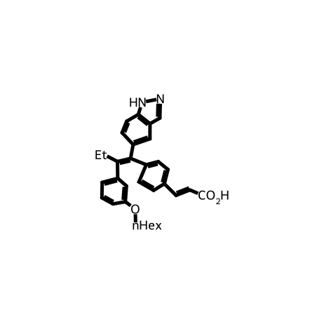 CCCCCCOc1cccc(/C(CC)=C(\c2ccc(/C=C/C(=O)O)cc2)c2ccc3[nH]ncc3c2)c1